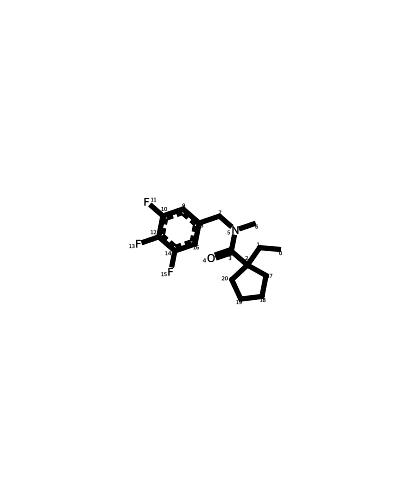 CCC1(C(=O)N(C)Cc2cc(F)c(F)c(F)c2)CCCC1